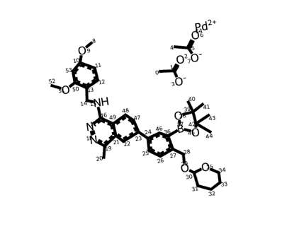 CC(=O)[O-].CC(=O)[O-].COc1ccc(CNc2nnc(C)c3cc(-c4ccc(COC5CCCCO5)c(B5OC(C)(C)C(C)(C)O5)c4)ccc23)c(OC)c1.[Pd+2]